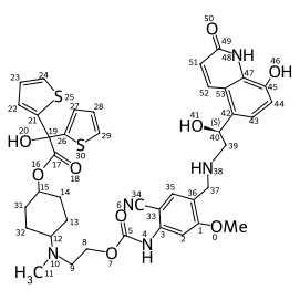 COc1cc(NC(=O)OCCN(C)C2CCC(OC(=O)C(O)(c3cccs3)c3cccs3)CC2)c(C#N)cc1CNC[C@@H](O)c1ccc(O)c2[nH]c(=O)ccc12